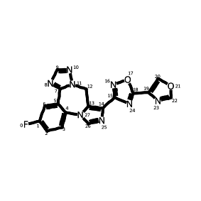 Fc1ccc2c(c1)-c1ncnn1Cc1c(-c3noc(-c4cocn4)n3)ncn1-2